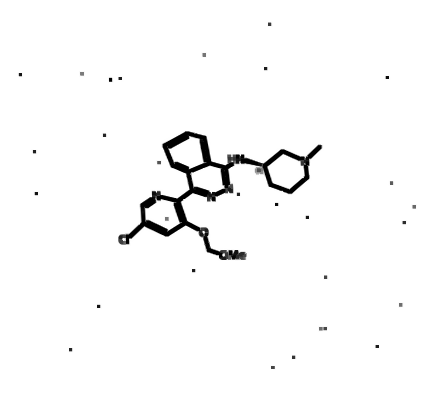 COCOc1cc(Cl)cnc1-c1nnc(N[C@@H]2CCCN(C)C2)c2ccccc12